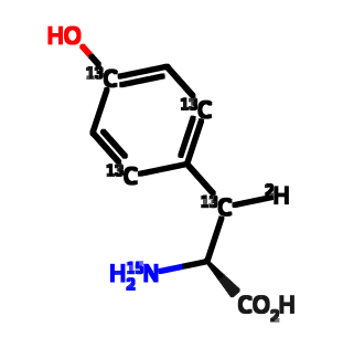 [2H][13CH](c1[13cH]c[13c](O)c[13cH]1)[C@H]([15NH2])C(=O)O